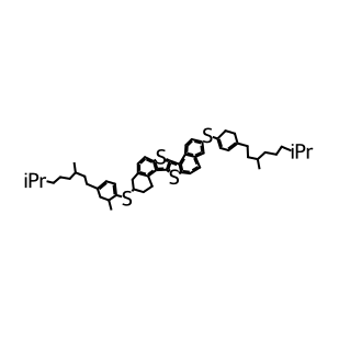 CC(C)CCCC(C)CCC1=CC=C(Sc2ccc3c(ccc4sc5c(sc6ccc7c(c65)CCC(SC5=CC=C(CCC(C)CCCC(C)C)CC5C)C7)c43)c2)CC1